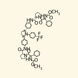 COC(=O)N[C@H](C(=O)N1CCCC1C(=O)Nc1ccc([C@H]2CC[C@H](c3ccc(NC(=O)[C@@H]4CCCN4C(=O)[C@@H](NC(=O)OC)c4ccccc4)cc3)N2c2ccc(C(F)(F)F)cc2)cc1)c1ccccc1